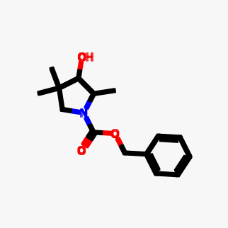 CC1C(O)C(C)(C)CN1C(=O)OCc1ccccc1